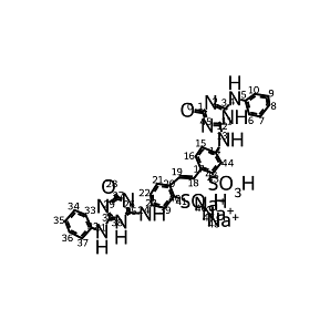 O=c1nc(Nc2ccccc2)[nH]c(Nc2ccc(C=Cc3ccc(Nc4nc(=O)nc(Nc5ccccc5)[nH]4)cc3S(=O)(=O)O)c(S(=O)(=O)O)c2)n1.[Na+].[Na+].[Na+]